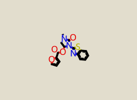 CN1CC(OC(=O)c2ccco2)N(c2nc3ccccc3s2)C1=O